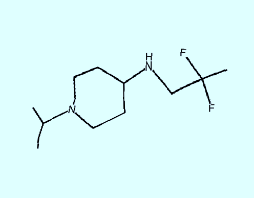 CC(C)N1CCC(NCC(C)(F)F)CC1